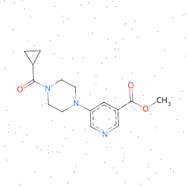 COC(=O)c1cncc(N2CCN(C(=O)C3CC3)CC2)c1